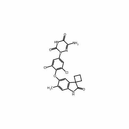 Cc1cc2c(cc1Oc1c(Cl)cc(-n3nc(N)c(=O)[nH]c3=O)cc1Cl)C1(CCC1)C(=O)N2